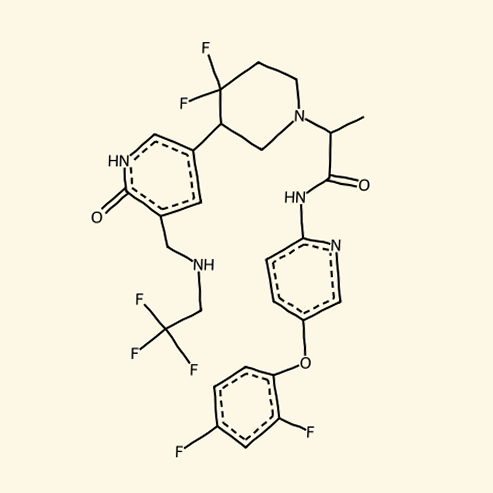 CC(C(=O)Nc1ccc(Oc2ccc(F)cc2F)cn1)N1CCC(F)(F)C(c2c[nH]c(=O)c(CNCC(F)(F)F)c2)C1